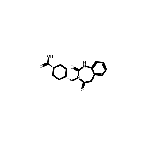 O=C1Cc2ccccc2NC(=O)N1C[C@H]1CC[C@H](C(=O)O)CC1